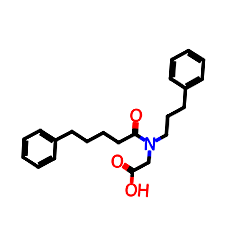 O=C(O)CN(CCCc1ccccc1)C(=O)CCCCc1ccccc1